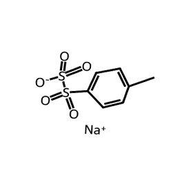 Cc1ccc(S(=O)(=O)S(=O)(=O)[O-])cc1.[Na+]